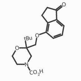 CC(C)(C)C1(COc2cccc3c2CCC3=O)CN(C(=O)O)CCO1